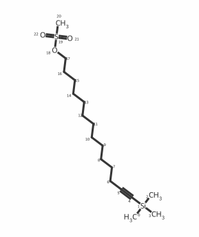 C[Si](C)(C)C#CCCCCCCCCCCCCOS(C)(=O)=O